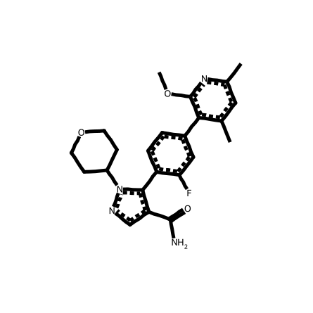 COc1nc(C)cc(C)c1-c1ccc(-c2c(C(N)=O)cnn2C2CCOCC2)c(F)c1